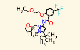 CCOCCOc1ccc(C(F)(F)F)cc1C(=O)N=c1cc(C(C)(C)C)n(C)n1C[C@H]1CCCO1